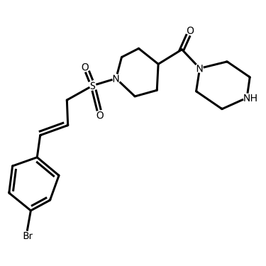 O=C(C1CCN(S(=O)(=O)CC=Cc2ccc(Br)cc2)CC1)N1CCNCC1